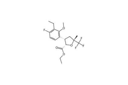 CCOC(=O)[C@H]1O[C@@](C)(C(F)(F)F)C[C@H]1c1ccc(F)c(CC)c1OC